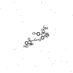 CCNC(=O)C[C@@H]1N=C(c2ccc(Cl)cc2)c2cc(OCCOCCNC(=O)c3cccc(O)c3O)ccc2-n2c(C)nnc21